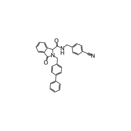 N#Cc1ccc(CNC(=O)C2c3ccccc3C(=O)N2Cc2ccc(-c3ccccc3)cc2)cc1